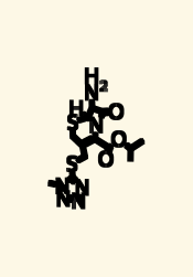 CC(C)OC(=O)C1=C(CSc2nnnn2C)CS[C@@H]2C(N)C(=O)N12